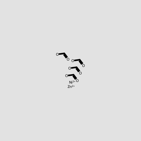 O=C[O-].O=C[O-].O=C[O-].O=C[O-].[Ni+2].[Zn+2]